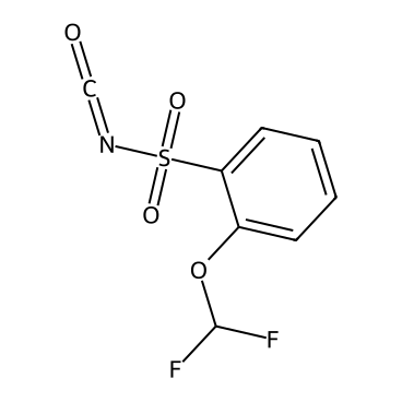 O=C=NS(=O)(=O)c1ccccc1OC(F)F